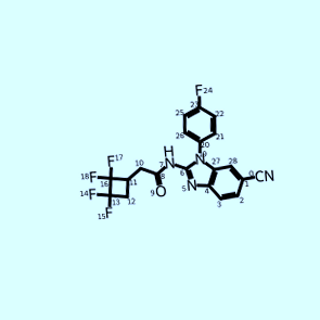 N#Cc1ccc2nc(NC(=O)CC3CC(F)(F)C3(F)F)n(-c3ccc(F)cc3)c2c1